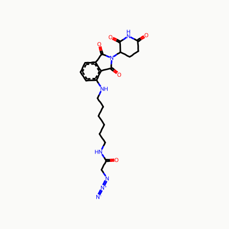 [N-]=[N+]=NCC(=O)NCCCCCCNc1cccc2c1C(=O)N(C1CCC(=O)NC1=O)C2=O